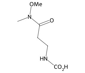 CON(C)C(=O)CCNC(=O)O